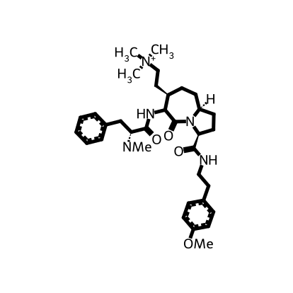 CN[C@H](Cc1ccccc1)C(=O)NC1C(=O)N2[C@@H](CC[C@@H]1CC[N+](C)(C)C)CC[C@H]2C(=O)NCCc1ccc(OC)cc1